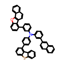 c1cc(-c2ccc3ccccc3c2)cc(N(c2ccc(-c3cccc4sc5ccccc5c34)cc2)c2cccc(-c3cccc4oc5c6ccccc6ccc5c34)c2)c1